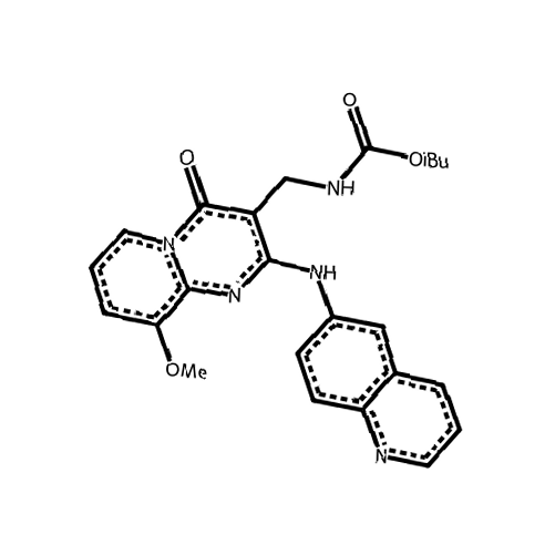 COc1cccn2c(=O)c(CNC(=O)OCC(C)C)c(Nc3ccc4ncccc4c3)nc12